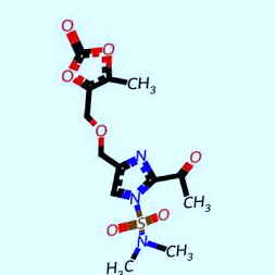 CC(=O)c1nc(COCc2oc(=O)oc2C)cn1S(=O)(=O)N(C)C